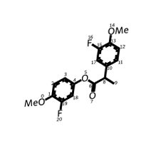 COc1ccc(OC(=O)C(C)c2ccc(OC)c(F)c2)cc1F